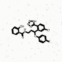 O=C(NCCC(Oc1ccc(F)cc1)c1cc(Cl)ccc1-c1nnn[nH]1)c1ccccc1O